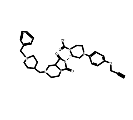 C#CCOc1ccc(N2CCN(C(=O)O)[C@@H](N3C(=O)C4CN(CC5CCN(Cc6ccccc6)CC5)CCN4C3=O)C2)cc1